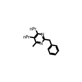 CCCc1nc(Cc2ccccc2)nc(C)c1CCC